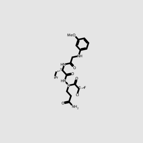 COc1cccc(NCC(=O)N[C@@H](CC(C)C)C(=O)NN(CCC(N)=O)C(=O)[C@H](F)Cl)c1